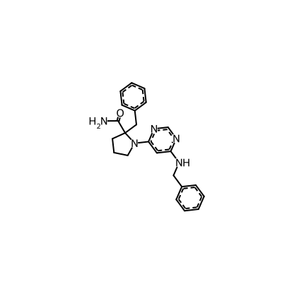 NC(=O)C1(Cc2ccccc2)CCCN1c1cc(NCc2ccccc2)ncn1